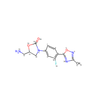 Cc1noc(-c2ccc(N3CC(CN)OC3=O)cc2F)n1